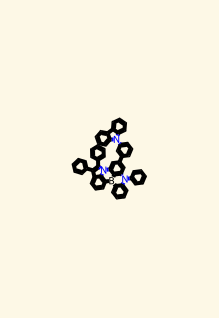 c1ccc(-c2c(-c3ccccc3)n3c4c(cccc24)B2c4ccccc4N(c4ccccc4)c4cc(-c5cccc(-n6c7ccccc7c7ccccc76)c5)cc-3c42)cc1